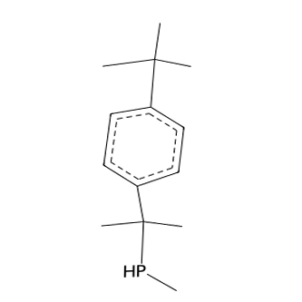 CPC(C)(C)c1ccc(C(C)(C)C)cc1